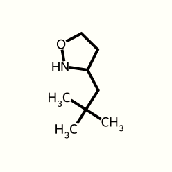 CC(C)(C)CC1CCON1